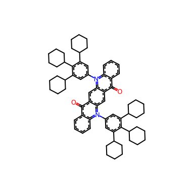 O=c1c2ccccc2n(-c2cc(C3CCCCC3)c(C3CCCCC3)c(C3CCCCC3)c2)c2cc3c(=O)c4ccccc4n(-c4cc(C5CCCCC5)c(C5CCCCC5)c(C5CCCCC5)c4)c3cc12